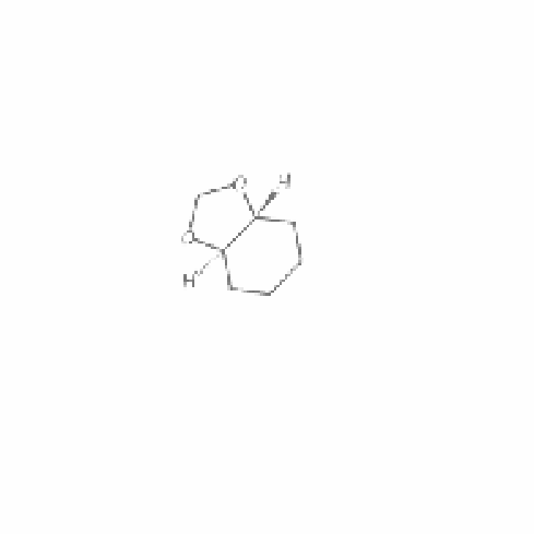 C1CC[C@H]2OCO[C@@H]2C1